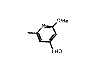 COc1cc(C=O)cc(C)n1